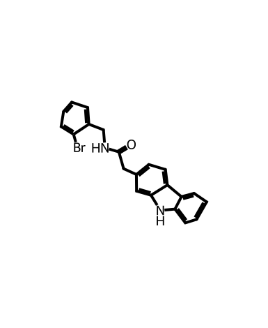 O=C(Cc1ccc2c(c1)[nH]c1ccccc12)NCc1ccccc1Br